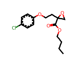 CCCCOC(=O)C1(CCOc2ccc(Cl)cc2)CO1